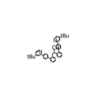 C#CC(Cc1ccccc1-c1ccc(-c2cc(C(C)(C)C)ccn2)cc1)c1ccccc1-c1ccc(-c2cc(C(C)(C)C)ccn2)cc1